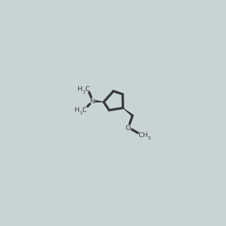 COC[C@@H]1CC[C@H](N(C)C)C1